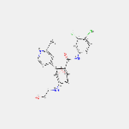 Cc1cc(-c2c(C(=O)Nc3ccc(Cl)c(Cl)c3)c3cc(NCCO)c2o3)ccn1